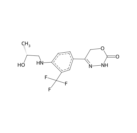 C[C@@H](O)CNc1ccc(C2=NNC(=O)OC2)cc1C(F)(F)F